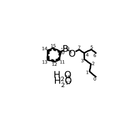 CCCCC(CC)CO[B]c1ccccc1.O.O